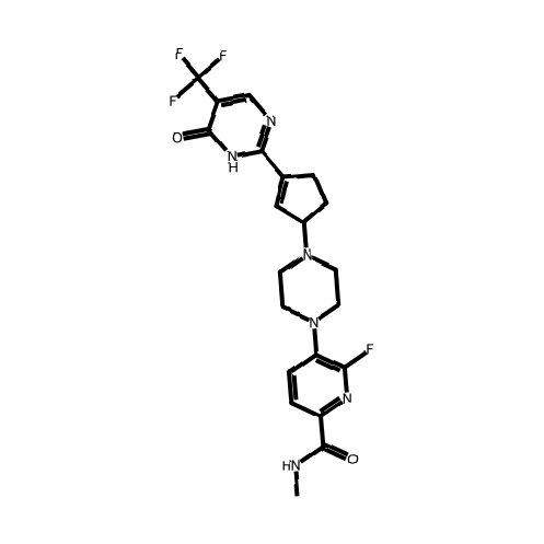 CNC(=O)c1ccc(N2CCN(C3C=C(c4ncc(C(F)(F)F)c(=O)[nH]4)CC3)CC2)c(F)n1